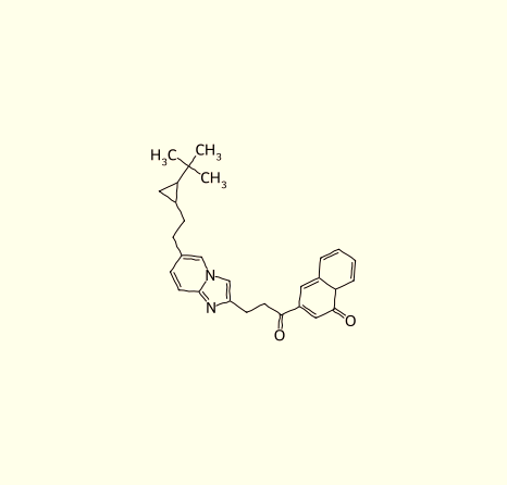 CC(C)(C)C1CC1CCc1ccc2nc(CCC(=O)C3=CC(=O)C4C=CC=CC4=C3)cn2c1